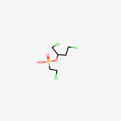 O=P(O)(CCCl)OC(CCl)CCCl